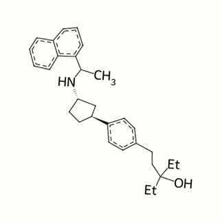 CCC(O)(CC)CCc1ccc([C@H]2CC[C@H](NC(C)c3cccc4ccccc34)C2)cc1